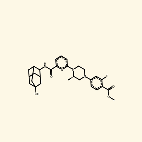 COC(=O)c1ccc(N2CCN(c3cccc(C(=O)NC4C5CC6CC4CC(O)(C6)C5)n3)[C@H](C)C2)cc1F